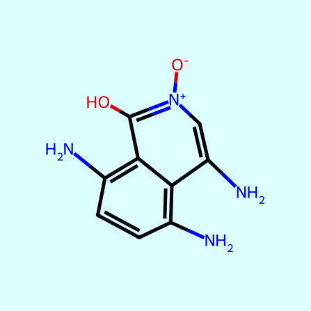 Nc1ccc(N)c2c(O)[n+]([O-])cc(N)c12